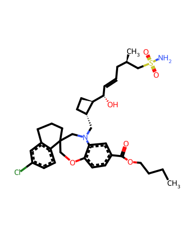 CCCCOC(=O)c1ccc2c(c1)N(C[C@@H]1CC[C@H]1[C@@H](O)C=CC[C@@H](C)CS(N)(=O)=O)CC1(CCCc3cc(Cl)ccc31)CO2